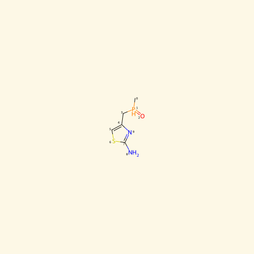 C[PH](=O)Cc1csc(N)n1